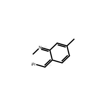 C/N=C1/C=C(C)C=C/C1=C/C(C)C